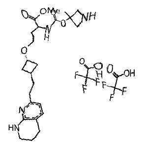 COC(=O)C(CCO[C@H]1C[C@H](CCc2ccc3c(n2)NCCC3)C1)NC(=O)OC1(C)CNC1.O=C(O)C(F)(F)F.O=C(O)C(F)(F)F